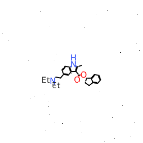 CCN(CC)CCc1ccc2[nH]c(C)c(C(=O)OC3CCc4ccccc43)c2c1